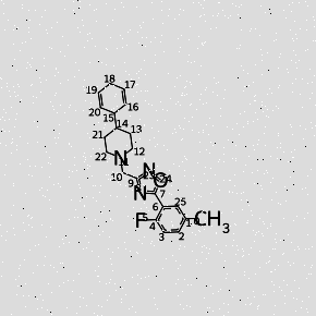 Cc1ccc(F)c(-c2nc(CN3CCC(C4C=CCC=C4)CC3)no2)c1